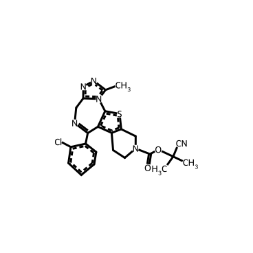 Cc1nnc2n1-c1sc3c(c1C(c1ccccc1Cl)=NC2)CCN(C(=O)OC(C)(C)C#N)C3